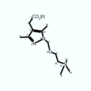 CCOC(=O)Cc1c(C)nn(COCC[Si](C)(C)C)c1C